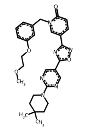 COCCOc1cccc(Cn2cc(-c3noc(-c4cnc(N5CCC(C)(C)CC5)nc4)n3)ccc2=O)c1